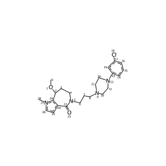 COC1CCN(CCCN2CCN(c3cccc(Cl)c3)CC2)C(=O)c2ccn(C)c21